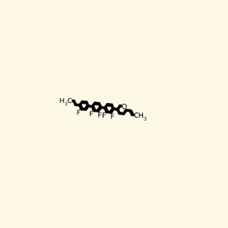 C/C=C/C1CCC(c2ccc(-c3ccc(-c4ccc(CCC)c(F)c4)c(F)c3F)c(F)c2F)CO1